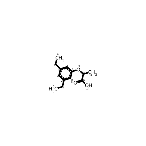 CCc1cc(CC)cc(OC(C)C(=O)O)c1